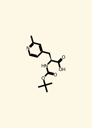 Cc1cc(C[C@H](NC(=O)OC(C)(C)C)C(=O)O)ccn1